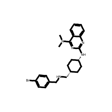 CN(C)c1nc(N[C@H]2CC[C@@H](CNCc3ccc(Br)cc3)CC2)nc2ccccc12